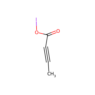 CC#CC(=O)OI